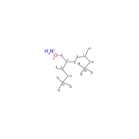 CC(CCC(CON)C(C)CC(C)(C)C)CC(C)(C)C